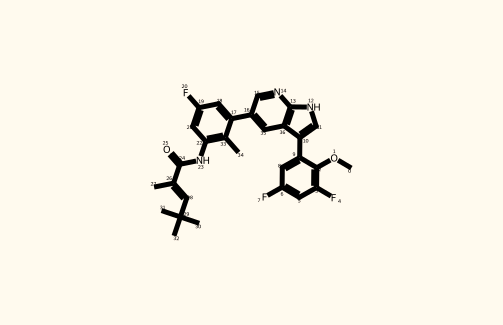 COc1c(F)cc(F)cc1-c1c[nH]c2ncc(-c3cc(F)cc(NC(=O)C(C)=CC(C)(C)C)c3C)cc12